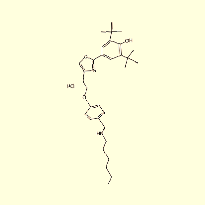 CCCCCCNCc1ccc(OCCc2coc(-c3cc(C(C)(C)C)c(O)c(C(C)(C)C)c3)n2)cc1.Cl